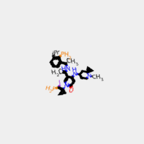 C=C(N[C@H](C)c1cccc(C(C)C)c1P)c1cn(C2(C(P)I)CC2)c(=O)cc1NC1CCN(C)C2(CC2)C1